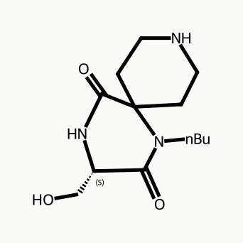 CCCCN1C(=O)[C@H](CO)NC(=O)C12CCNCC2